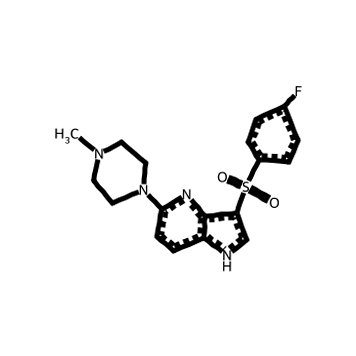 CN1CCN(c2ccc3[nH]cc(S(=O)(=O)c4ccc(F)cc4)c3n2)CC1